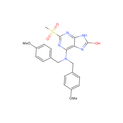 COc1ccc(CN(Cc2ccc(OC)cc2)c2nc(S(C)(=O)=O)nc3[nH]c(O)nc23)cc1